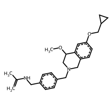 C=C(C)NCc1ccc(CN2Cc3ccc(OCC4CC4)cc3C(OC)C2)cc1